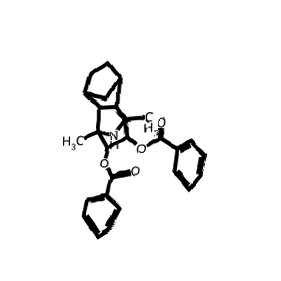 CC12NC(C)(C(OC(=O)c3ccccc3)C1OC(=O)c1ccccc1)C1C3CCC(C3)C12